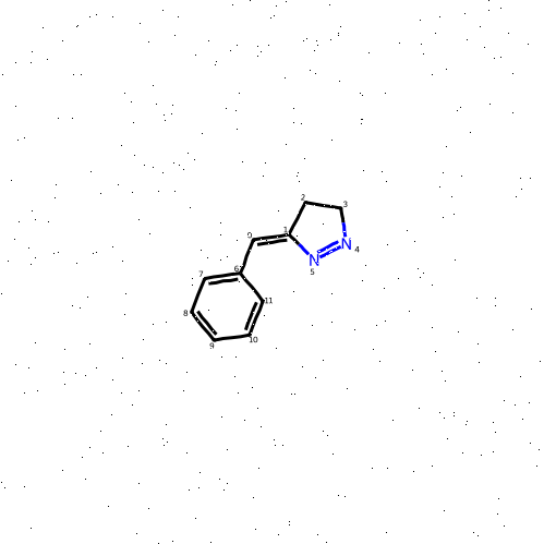 C(=C1CCN=N1)c1ccccc1